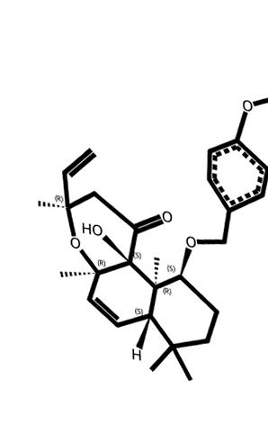 C=C[C@@]1(C)CC(=O)[C@]2(O)[C@@]3(C)[C@@H](OCc4ccc(OC)cc4)CCC(C)(C)[C@@H]3C=C[C@@]2(C)O1